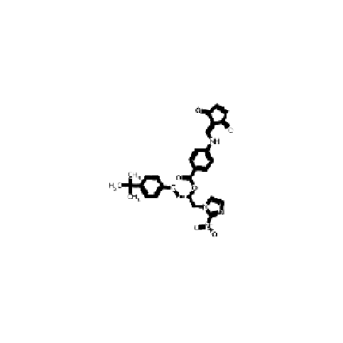 CC(C)(C)c1ccc(OC[C@@H](Cn2ccnc2[N+](=O)[O-])OC(=O)c2ccc(NC=C3C(=O)C=CC3=O)cc2)cc1